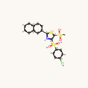 CS(=O)(=O)c1sc(-c2ccc3ccccc3c2)nc1S(=O)(=O)c1ccc(Cl)cc1